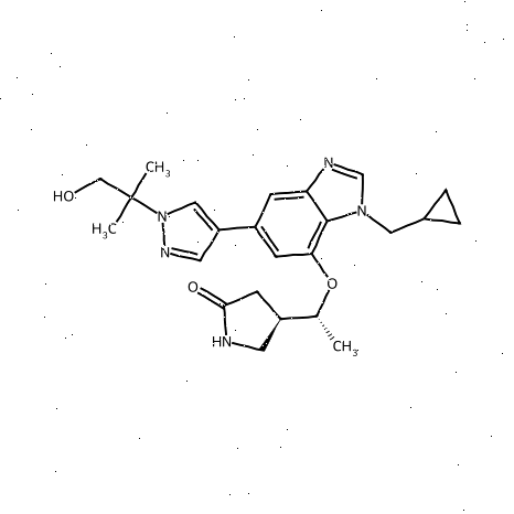 C[C@@H](Oc1cc(-c2cnn(C(C)(C)CO)c2)cc2ncn(CC3CC3)c12)[C@H]1CNC(=O)C1